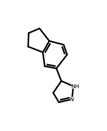 C1=NNC(c2ccc3c(c2)CCC3)C1